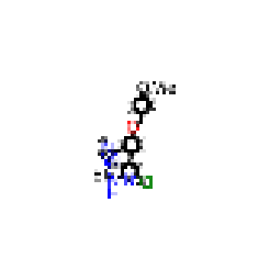 CCNc1cc(-c2ccc(OCc3ccc(OC)cc3)cc2-c2nncn2C)cc(Cl)n1